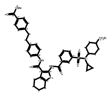 CCOC(=O)C1CCC(N(C2CC2)S(=O)(=O)c2cccc(C(=O)Nc3sc4c(c3C(=O)Nc3ccc(CCc5ccc(C(=O)OC)cc5)cc3)CCCC4)c2)CC1